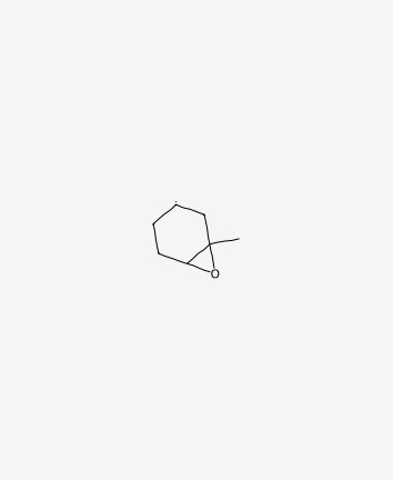 CC12C[CH]CCC1O2